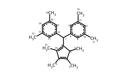 CC1=C(C)C(C)C(C(c2cc(C)cc(C)c2)c2cc(C)cc(C)c2)=C1C